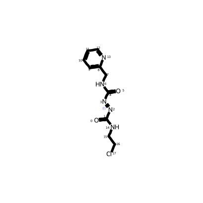 O=C(/N=N/C(=O)NCc1ccccn1)NCCCl